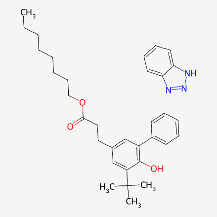 CCCCCCCCOC(=O)CCc1cc(-c2ccccc2)c(O)c(C(C)(C)C)c1.c1ccc2[nH]nnc2c1